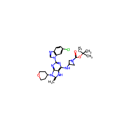 C=C1Nc2c(NC3CN(C(=O)OC(C)(C)C)C3)nc(-n3cnc4ccc(Cl)cc43)nc2N1C1CCOCC1